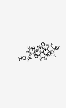 NC(=O)N(c1ccc(Br)cc1)c1cc(Oc2ccccc2C(=O)O)ccc1C(F)(F)F